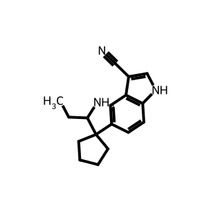 CCC(N)C1(c2ccc3[nH]cc(C#N)c3c2)CCCC1